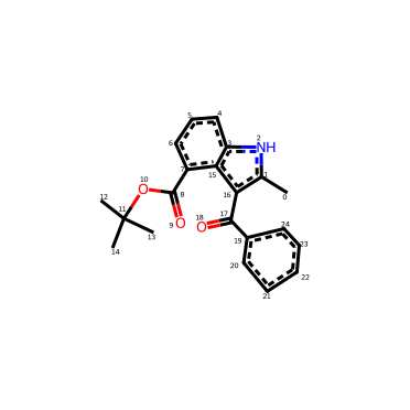 Cc1[nH]c2cccc(C(=O)OC(C)(C)C)c2c1C(=O)c1ccccc1